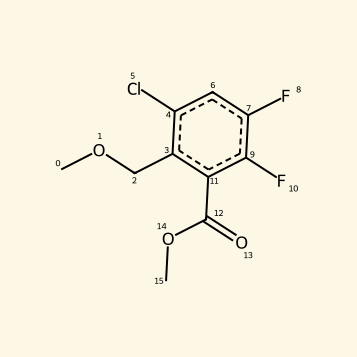 COCc1c(Cl)cc(F)c(F)c1C(=O)OC